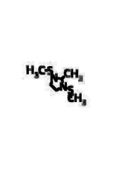 CSN1CCN(SC)C1C